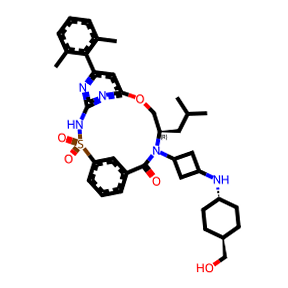 Cc1cccc(C)c1-c1cc2nc(n1)NS(=O)(=O)c1cccc(c1)C(=O)N(C1CC(N[C@H]3CC[C@H](CO)CC3)C1)[C@H](CC(C)C)CO2